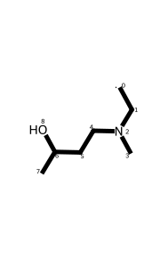 [CH2]CN(C)CCC(C)O